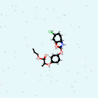 CCCOC(=O)C(C)Oc1ccc(Oc2nc3ccc(Cl)cc3o2)cc1